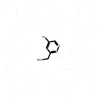 COCc1cc(C(C)C)cnn1